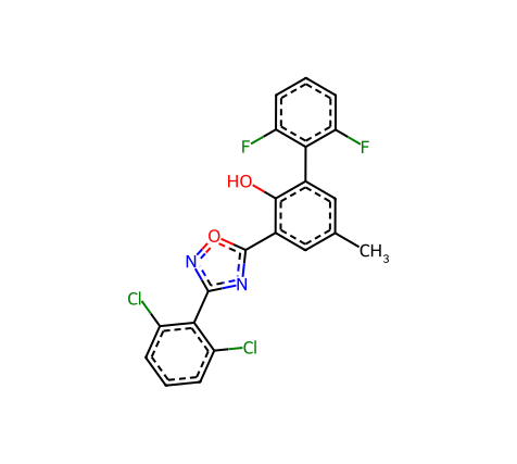 Cc1cc(-c2nc(-c3c(Cl)cccc3Cl)no2)c(O)c(-c2c(F)cccc2F)c1